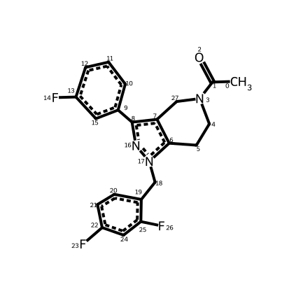 CC(=O)N1CCc2c(c(-c3cccc(F)c3)nn2Cc2ccc(F)cc2F)C1